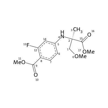 COC[C@@](C)(Nc1ccc(C(=O)OC)c(F)c1)C(=O)OC